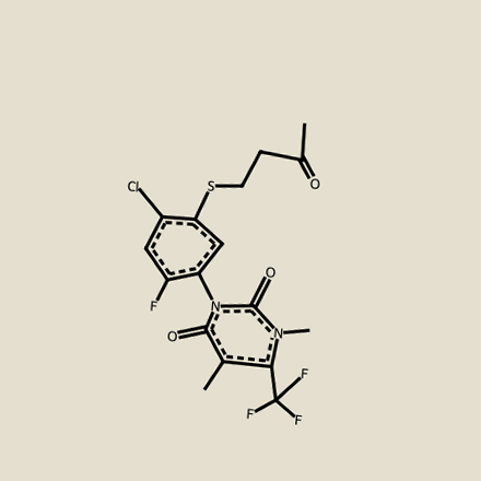 CC(=O)CCSc1cc(-n2c(=O)c(C)c(C(F)(F)F)n(C)c2=O)c(F)cc1Cl